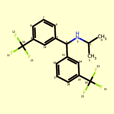 CC(C)NC(c1cccc(C(F)(F)F)c1)c1cccc(C(F)(F)F)c1